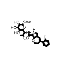 CSC1OC(C(NC(=O)C2NCC3C=C(c4ccccc4F)CCOC32)C(C)Cl)C(O)C(O)C1O